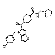 O=C(NCC1CCCO1)C1CCN(C(=O)c2cc3sccc3n2Cc2ccc(Cl)cc2)CC1